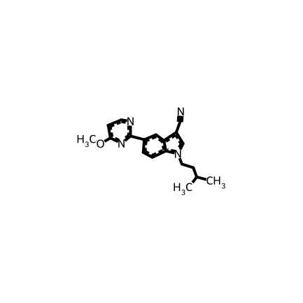 COc1ccnc(-c2ccc3c(c2)c(C#N)cn3CCC(C)C)n1